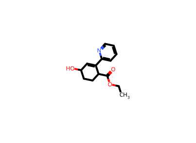 CCOC(=O)C1CCC(O)C=C1c1ccccn1